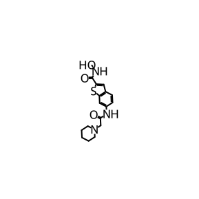 O=C(CN1CCCCC1)Nc1ccc2cc(C(=O)NO)sc2c1